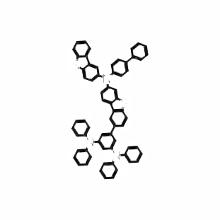 c1ccc(-c2ccc(N(c3ccc4c(c3)sc3ccc(-c5cc(N(c6ccccc6)c6ccccc6)cc(N(c6ccccc6)c6ccccc6)c5)cc34)c3ccc4sc5ccccc5c4c3)cc2)cc1